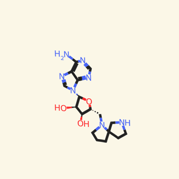 Nc1ncnc2c1ncn2[C@@H]1O[C@H](CN2CCCC23CCNC3)[C@@H](O)[C@H]1O